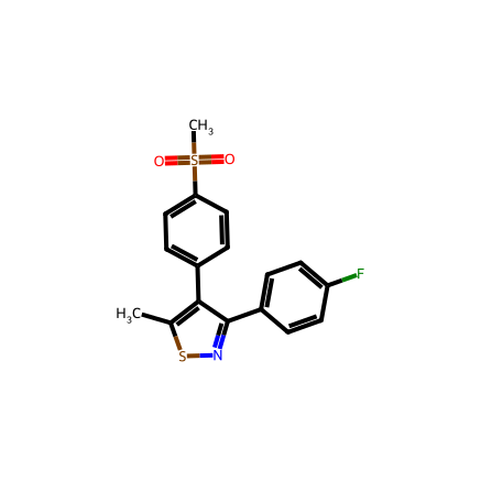 Cc1snc(-c2ccc(F)cc2)c1-c1ccc(S(C)(=O)=O)cc1